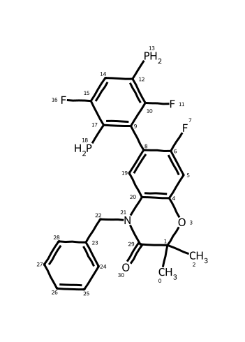 CC1(C)Oc2cc(F)c(-c3c(F)c(P)cc(F)c3P)cc2N(Cc2ccccc2)C1=O